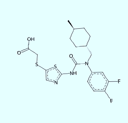 C[C@H]1CC[C@H](CN(C(=O)Nc2ncc(SCC(=O)O)s2)c2ccc(F)c(F)c2)CC1